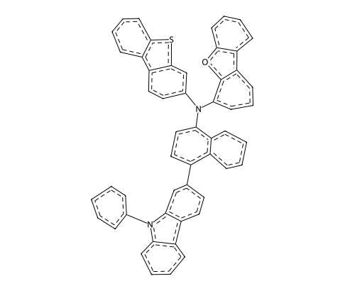 c1ccc(-n2c3ccccc3c3ccc(-c4ccc(N(c5ccc6c(c5)sc5ccccc56)c5cccc6c5oc5ccccc56)c5ccccc45)cc32)cc1